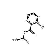 CCCCCC(CC)OC(=S)c1ccccc1O